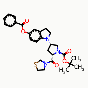 CC(C)(C)OC(=O)N1C[C@@H](N2CCc3cc(OC(=O)c4ccccc4)ccc32)C[C@H]1C(=O)N1CCSC1